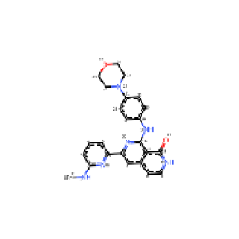 CC(C)Nc1cccc(-c2cc3cc[nH]c(=O)c3c(Nc3ccc(N4CCOCC4)cc3)n2)n1